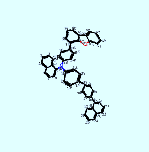 CC(C)c1cccc2cccc(N(c3ccc(-c4ccc(-c5cccc6ccccc56)cc4)cc3)c3ccc(-c4cccc5c4oc4ccccc45)cc3)c12